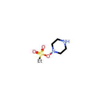 CCS(=O)(=O)ON1CCNCC1